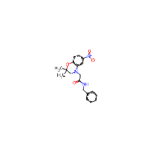 CC1(C)CN(CC(=O)NCc2ccccc2)c2cc([N+](=O)[O-])ccc2O1